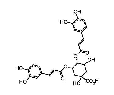 O=C(/C=C/c1ccc(O)c(O)c1)O[C@H]1[C@@H](OC(=O)/C=C/c2ccc(O)c(O)c2)C[C@](O)(C(=O)O)C[C@@H]1O